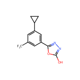 Oc1nnc(-c2cc(C3CC3)cc(C(F)(F)F)c2)o1